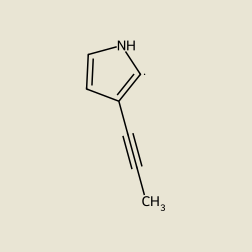 CC#Cc1[c][nH]cc1